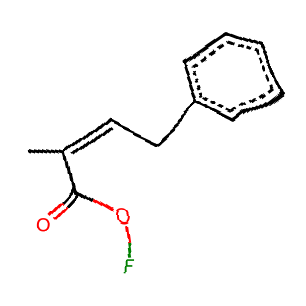 CC(=CCc1ccccc1)C(=O)OF